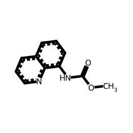 COC(=O)Nc1cccc2cccnc12